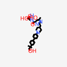 Cc1nc(CC2CCN(c3ccc(-c4ccc(C(C)(C)CO)cc4)cc3)CC2)nc(C(=O)NCC(=O)O)c1O